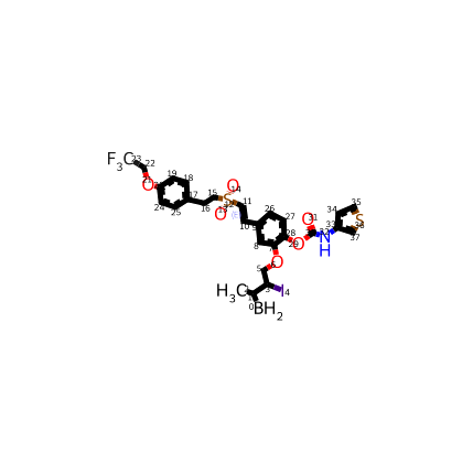 BC(C)C(I)COc1cc(/C=C/S(=O)(=O)CCc2ccc(OCC(F)(F)F)cc2)ccc1OC(=O)Nc1ccsc1